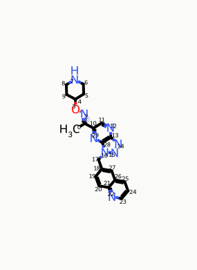 C/C(=N\OC1CCNCC1)c1cnc2nnn(Cc3ccc4ncccc4c3)c2n1